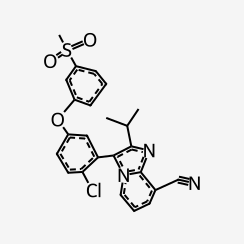 CC(C)c1nc2c(C#N)cccn2c1-c1cc(Oc2cccc(S(C)(=O)=O)c2)ccc1Cl